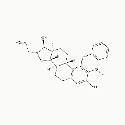 C=CCC1C[C@H]2[C@@H]3CCc4cc(O)c(OC)c(Cc5ccccc5)c4[C@H]3CC[C@]2(C)[C@@H]1O